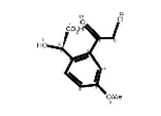 COc1ccc([C@@H](O)C(=O)O)c(C(=O)CCl)c1